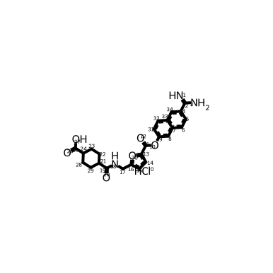 Cl.N=C(N)c1ccc2cc(OC(=O)c3ccc(CNC(=O)C4CCC(C(=O)O)CC4)o3)ccc2c1